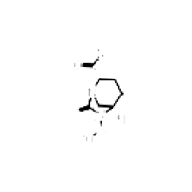 CCCCON1C(=O)N2C[C@H]1CC[C@H]2C(N)=O